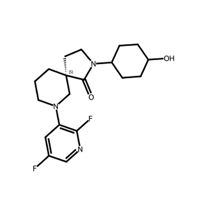 O=C1N(C2CCC(O)CC2)CC[C@]12CCCN(c1cc(F)cnc1F)C2